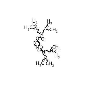 CCN(CC)CCN(CCN(CC)CC)C(=O)Oc1cc(OC(=O)N(CCN(CC)CC)CCN(CC)CC)ncn1